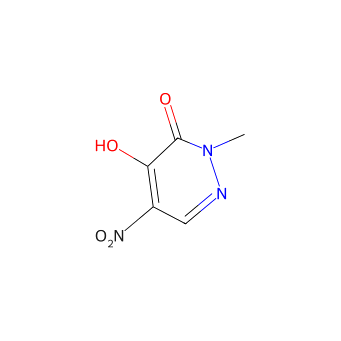 Cn1ncc([N+](=O)[O-])c(O)c1=O